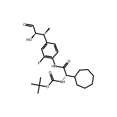 C[C@@H](c1ccc(NC(=O)[C@@H](NC(=O)OC(C)(C)C)C2CCCCCC2)c(F)c1)[C@@H](O)C=O